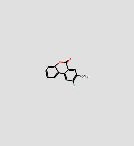 COc1cc2c(=O)oc3ccccc3c2cc1F